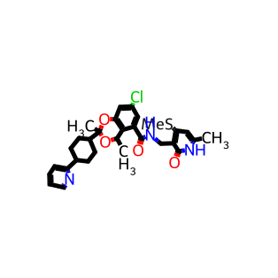 CSc1cc(C)[nH]c(=O)c1CNC(=O)c1cc(Cl)cc2c1C(C)OC(C)(C1CCC(c3ccccn3)CC1)O2